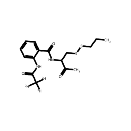 [2H]C([2H])([2H])C(=O)Nc1ccccc1C(=O)NC(CSSCCC)C(C)=O